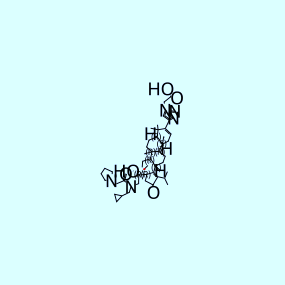 CC[C@@]12CC[C@@]3([C@@H](O)CN(CC4CC4)C(=O)CN4CCCC4)CC(=O)C(C(C)C)=C3[C@H]1CC[C@@H]1[C@@]3(C)CC=C(c4cn(CC(=O)O)nn4)C(C)(C)[C@@H]3CC[C@]12C